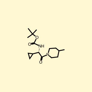 CC1CCN(C(=O)[C@@H](NC(=O)OC(C)(C)C)C2CC2)CC1